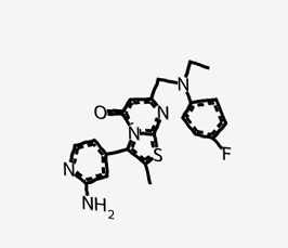 CCN(Cc1cc(=O)n2c(-c3ccnc(N)c3)c(C)sc2n1)c1ccc(F)cc1